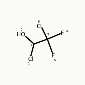 OC(Cl)C(F)(F)Cl